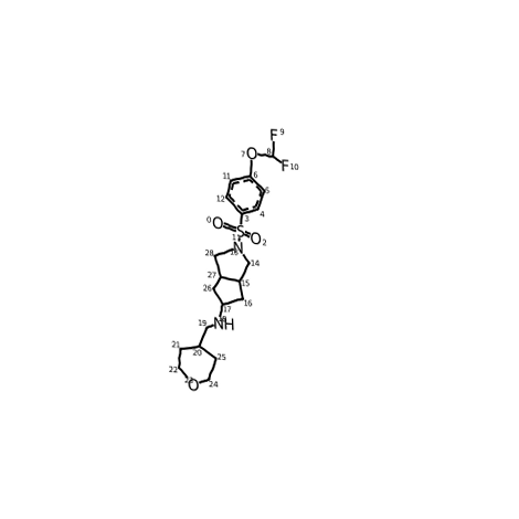 O=S(=O)(c1ccc(OC(F)F)cc1)N1CC2CC(NCC3CCOCC3)CC2C1